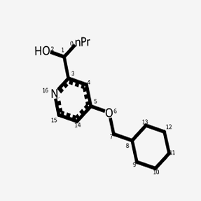 CCCC(O)c1cc(OCC2CCCCC2)ccn1